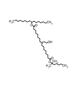 CCCCCCCCC(CCCCCCC)OC(=O)CCCCCCCN(CCO)CCCCCCCC(=O)OC(C)(C)CCCCC